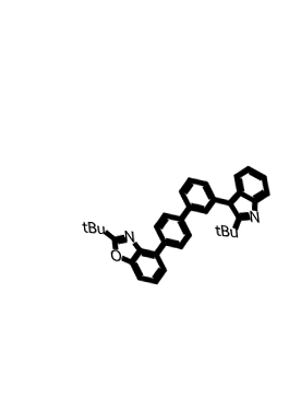 CC(C)(C)C1=Nc2ccccc2C1c1cccc(-c2ccc(-c3cccc4oc(C(C)(C)C)nc34)cc2)c1